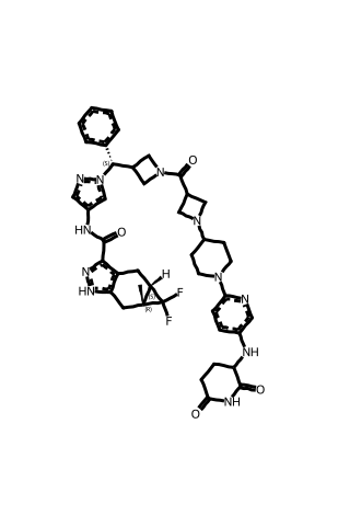 C[C@@]12Cc3[nH]nc(C(=O)Nc4cnn([C@H](c5ccccc5)C5CN(C(=O)C6CN(C7CCN(c8ccc(NC9CCC(=O)NC9=O)cn8)CC7)C6)C5)c4)c3C[C@@H]1C2(F)F